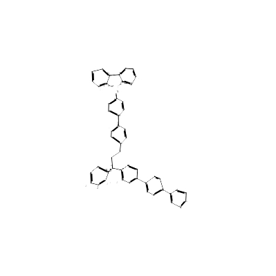 c1ccc(-c2ccc(-c3ccc(C(CCc4ccc(-c5ccc(-n6c7ccccc7c7ccccc76)cc5)cc4)c4ccccc4)cc3)cc2)cc1